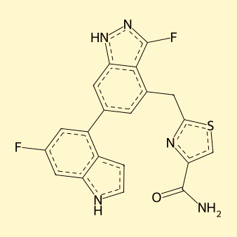 NC(=O)c1csc(Cc2cc(-c3cc(F)cc4[nH]ccc34)cc3[nH]nc(F)c23)n1